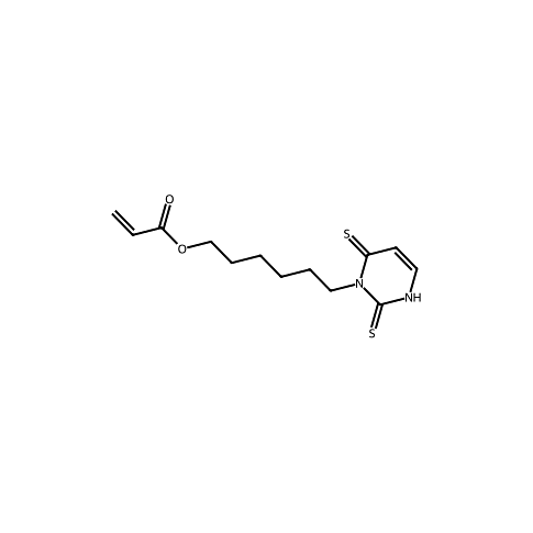 C=CC(=O)OCCCCCCn1c(=S)cc[nH]c1=S